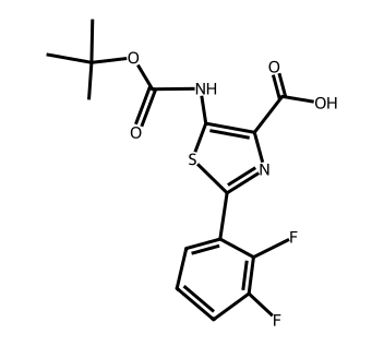 CC(C)(C)OC(=O)Nc1sc(-c2cccc(F)c2F)nc1C(=O)O